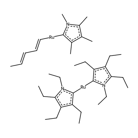 CC=CC=[CH][Ru][c]1c(C)c(C)c(C)n1C.CCc1c(CC)[c]([Ru][c]2c(CC)c(CC)c(CC)n2CC)n(CC)c1CC